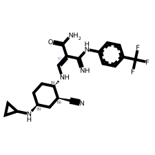 N#C[C@H]1C[C@@H](NC2CC2)CC[C@@H]1N/C=C(\C(=N)Nc1ccc(C(F)(F)F)cc1)C(N)=O